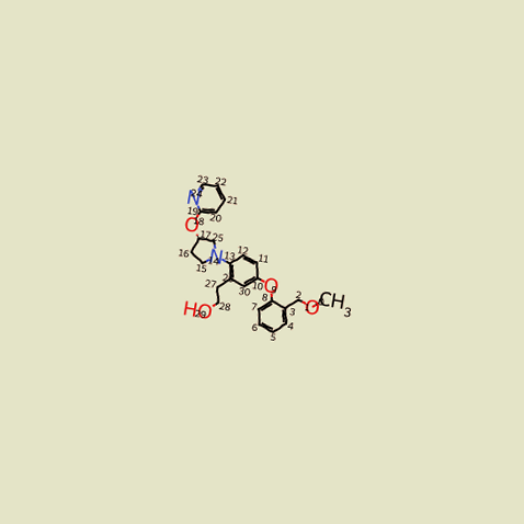 COCc1ccccc1Oc1ccc(N2CC[C@H](Oc3ccccn3)C2)c(CCO)c1